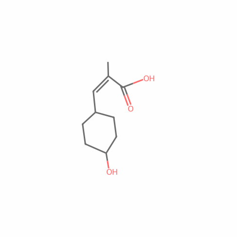 CC(=CC1CCC(O)CC1)C(=O)O